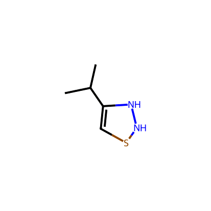 CC(C)C1=CSNN1